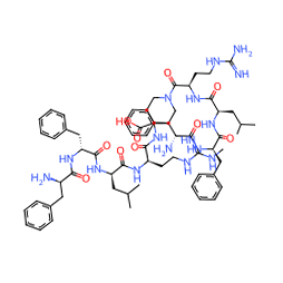 CNC(=N)NCC[C@@H](NC(=O)[C@@H](CC(C)C)NC(=O)[C@@H](Cc1ccccc1)NC(=O)[C@H](N)Cc1ccccc1)C(=O)NC1(C(=O)O)CCN(C(=O)[C@@H](CCNC(=N)N)NC(=O)[C@@H](CC(C)C)NC(=O)[C@@H](Cc2ccccc2)NC(=O)[C@H](N)Cc2ccccc2)CC1